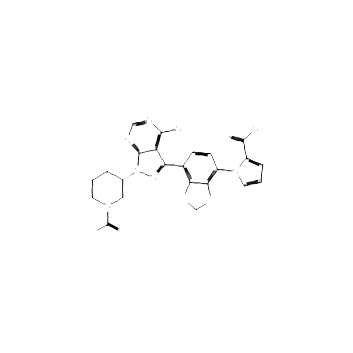 NC(=O)c1cccn1-c1ccc(-c2nn([C@@H]3CCCN(C(=O)O)C3)c3ncnc(N)c23)c2c1OCO2